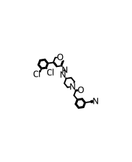 N#Cc1cccc(CC(=O)N2CCC(N=NC3=COCC(c4cccc(Cl)c4Cl)=C3)CC2)c1